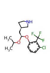 CC(C)O[C@@H](C[C@H]1CCNC1)Oc1cccc(Cl)c1C(F)(F)F